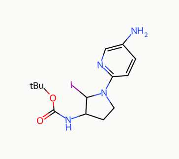 CC(C)(C)OC(=O)NC1CCN(c2ccc(N)cn2)C1I